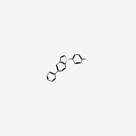 Clc1ccc(-n2ccc3cc(-c4ccccc4)ccc32)cc1